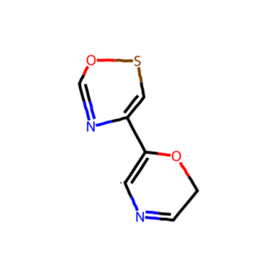 [C]1=C(C2=CSOC=N2)OCC=N1